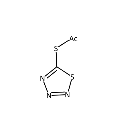 CC(=O)Sc1nnns1